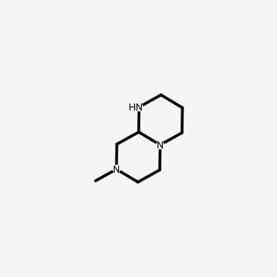 CN1CCN2CCCNC2C1